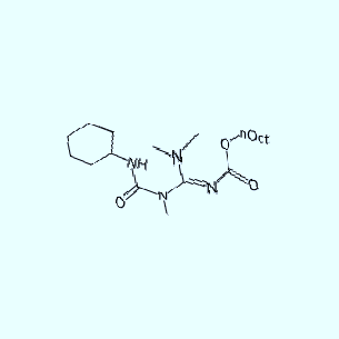 CCCCCCCCOC(=O)N=C(N(C)C)N(C)C(=O)NC1CCCCC1